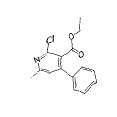 CCOC(=O)c1c(-c2ccccc2)cc(C)nc1Cl